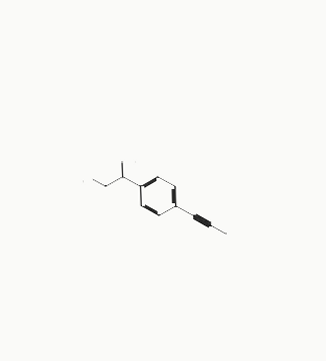 [Li][C]#Cc1ccc(C(C)CC)cc1